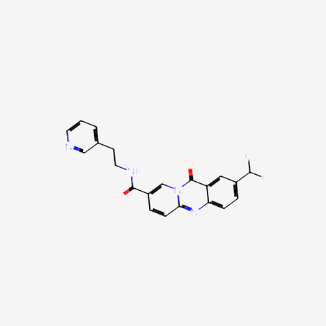 CC(C)c1ccc2nc3ccc(C(=O)NCCc4cccnc4)cn3c(=O)c2c1